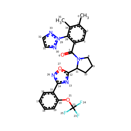 Cc1ccc(C(=O)N2CCCC2c2nc(-c3ccccc3OC(F)(F)F)no2)c(-n2nccn2)c1C